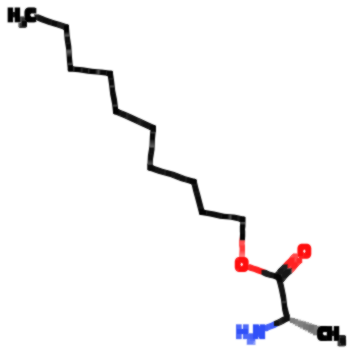 CCCCCCCCCCOC(=O)[C@H](C)N